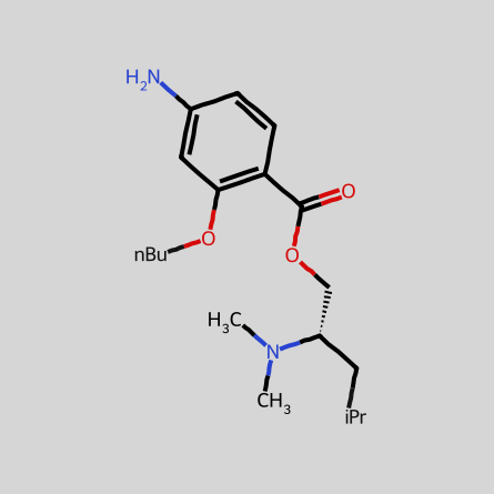 CCCCOc1cc(N)ccc1C(=O)OC[C@H](CC(C)C)N(C)C